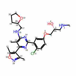 CNC[C@@H](O)COc1ccc(Cl)c(-c2nc(NC[C@H]3CCCO3)c(C)c(-c3c(C)noc3C)n2)c1